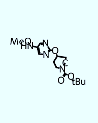 CONc1cnc(OC2CCN(C(=O)OC(C)(C)C)CC2)nc1